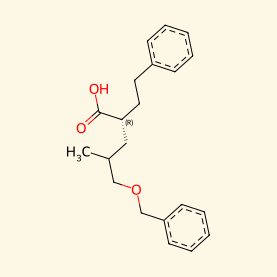 CC(COCc1ccccc1)C[C@@H](CCc1ccccc1)C(=O)O